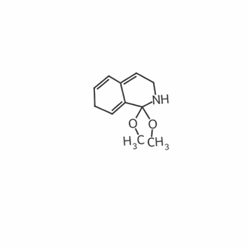 COC1(OC)NCC=C2C=CCC=C21